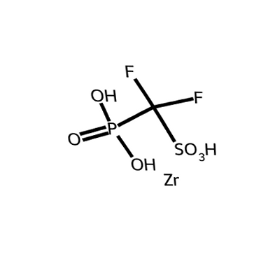 O=P(O)(O)C(F)(F)S(=O)(=O)O.[Zr]